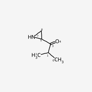 CC(C)C(=O)C1CN1